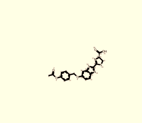 CC(=O)Oc1ccc(COc2ccc3nc(C4=N[C@@H](C(=O)O)CS4)sc3c2)cc1